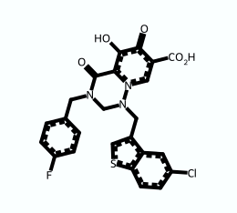 O=C(O)c1cn2c(c(O)c1=O)C(=O)N(Cc1ccc(F)cc1)CN2Cc1csc2ccc(Cl)cc12